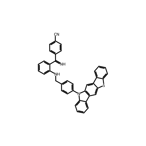 N#Cc1ccc(C(=N)c2ccccc2NCc2ccc(-n3c4ccccc4c4cc5sc6ccccc6c5cc43)cc2)cc1